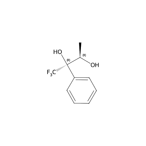 C[C@@H](O)[C@](O)(c1ccccc1)C(F)(F)F